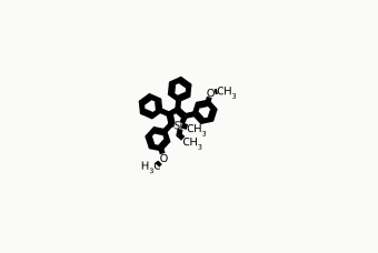 CC[Si]1(C)C(c2cccc(OC)c2)=C(c2ccccc2)C(c2ccccc2)=C1c1cccc(OC)c1